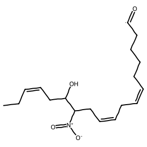 CC/C=C\CC(O)C(C/C=C\C/C=C\CCCC[C]=O)[N+](=O)[O-]